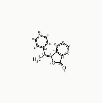 CC(=C1OC(=O)c2ccccc21)c1ccncc1